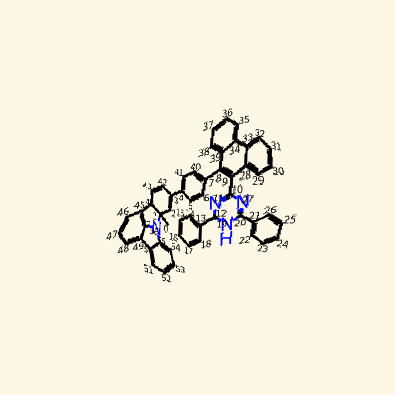 CC12C=C(c3ccc(-c4c(C5=NC(c6ccccc6)NC(c6ccccc6)=N5)c5ccccc5c5ccccc45)cc3)C=CC1c1cccc3c4ccccc4n2c13